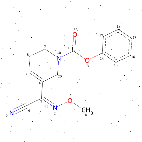 CO/N=C(/C#N)C1=CCCN(C(=O)Oc2ccccc2)C1